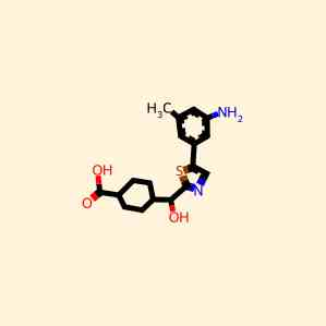 Cc1cc(N)cc(-c2cnc(C(O)C3CCC(C(=O)O)CC3)s2)c1